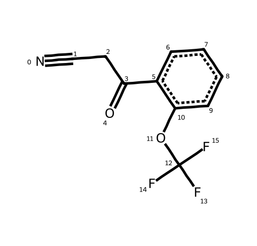 N#CCC(=O)c1ccccc1OC(F)(F)F